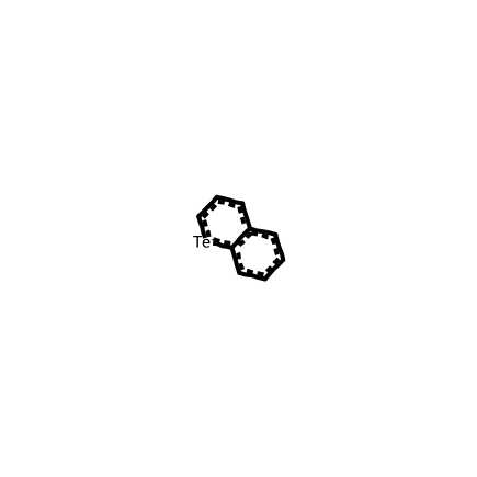 c1ccc2[te+]cccc2c1